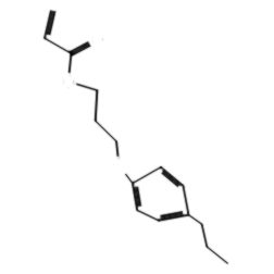 C=CC(=O)OCCCOc1ccc(CCC)cc1